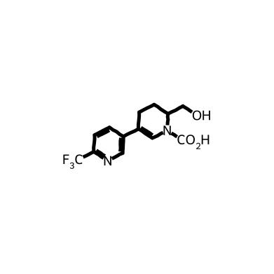 O=C(O)N1C=C(c2ccc(C(F)(F)F)nc2)CCC1CO